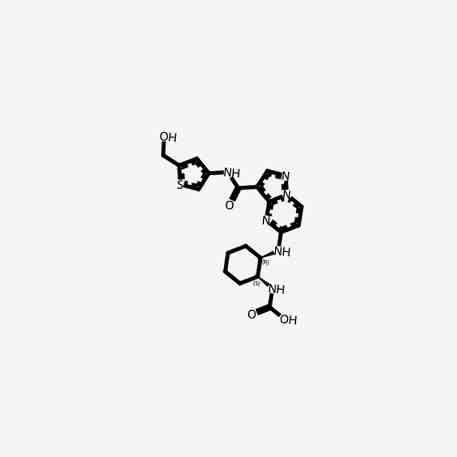 O=C(O)N[C@H]1CCCC[C@H]1Nc1ccn2ncc(C(=O)Nc3csc(CO)c3)c2n1